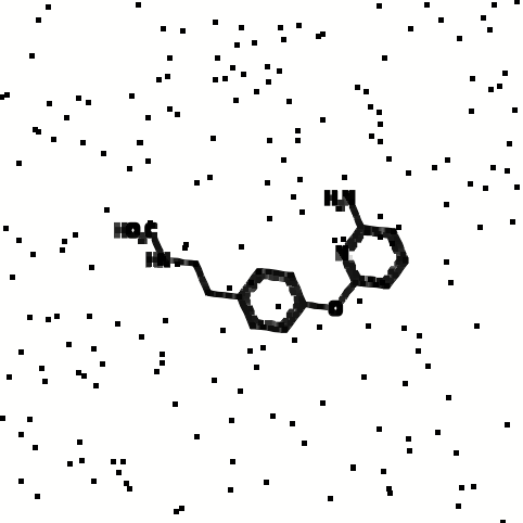 Nc1cccc(Oc2ccc(CCNC(=O)O)cc2)n1